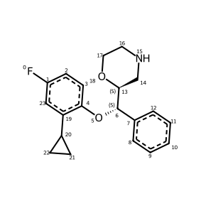 Fc1ccc(O[C@@H](c2ccccc2)[C@@H]2CNCCO2)c(C2CC2)c1